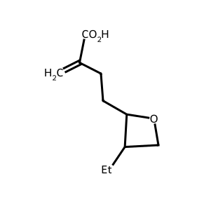 C=C(CCC1OCC1CC)C(=O)O